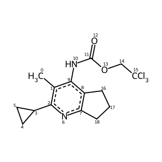 Cc1c(C2CC2)nc2c(c1NC(=O)OCC(Cl)(Cl)Cl)CCC2